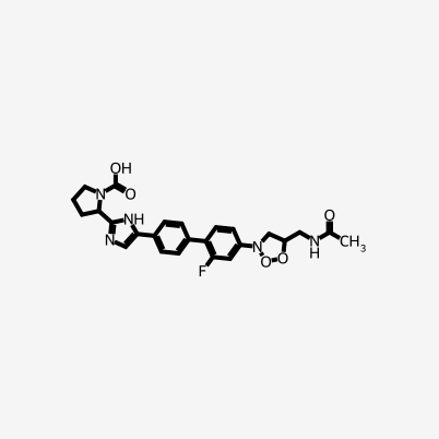 CC(=O)NCC1CN(c2ccc(-c3ccc(-c4cnc(C5CCCN5C(=O)O)[nH]4)cc3)c(F)c2)OO1